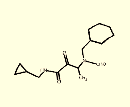 CC(C(=O)C(=O)NCC1CC1)N(C=O)CC1CCCCC1